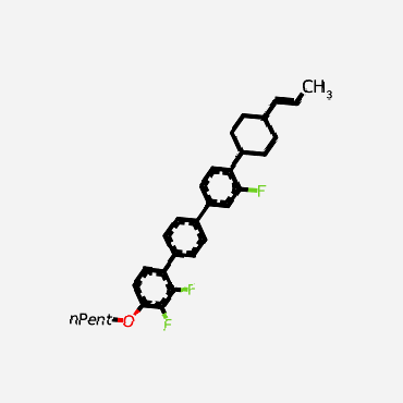 C/C=C/C1CCC(c2ccc(-c3ccc(-c4ccc(OCCCCC)c(F)c4F)cc3)cc2F)CC1